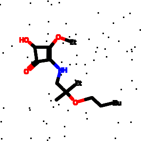 CCOC1=C(NCC(C)(CC)OCCC(C)CC)C(=O)C1O